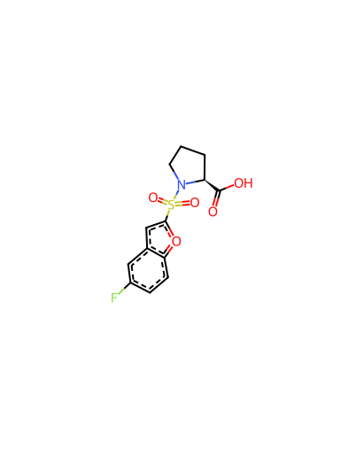 O=C(O)[C@@H]1CCCN1S(=O)(=O)c1cc2cc(F)ccc2o1